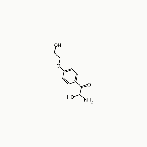 NC(O)C(=O)c1ccc(OCCO)cc1